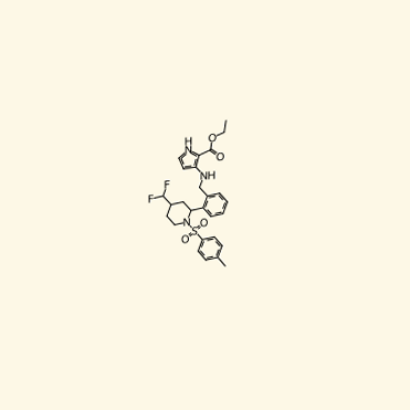 CCOC(=O)c1[nH]ccc1NCc1ccccc1C1CC(C(F)F)CCN1S(=O)(=O)c1ccc(C)cc1